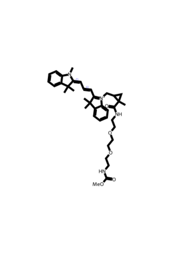 COC(=O)NCCOCCOCCNC(=O)C1(C)CC1C[N+]1=C(/C=C/C=C2/N(C)c3ccccc3C2(C)C)C(C)(C)c2ccccc21